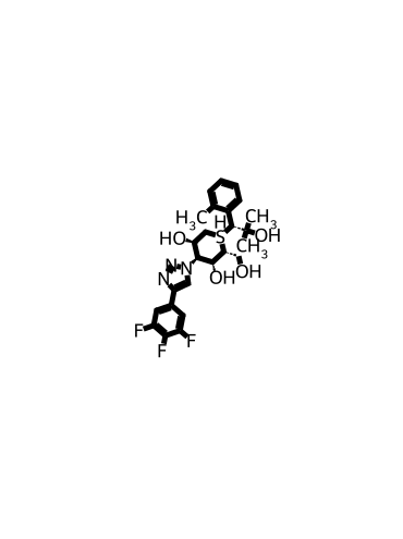 Cc1ccccc1[C@@H]([SH]1C[C@H](O)[C@H](n2cc(-c3cc(F)c(F)c(F)c3)nn2)[C@@H](O)[C@H]1CO)C(C)(C)O